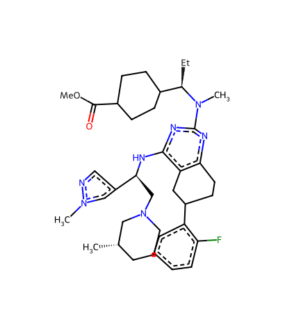 CC[C@H](C1CCC(C(=O)OC)CC1)N(C)c1nc2c(c(N[C@@H](CN3CCC[C@H](C)C3)c3cnn(C)c3)n1)CC(c1ccccc1F)CC2